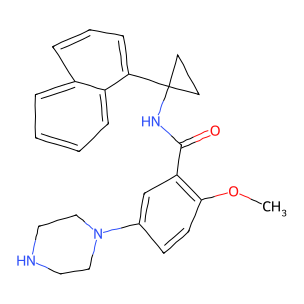 COc1ccc(N2CCNCC2)cc1C(=O)NC1(c2cccc3ccccc23)CC1